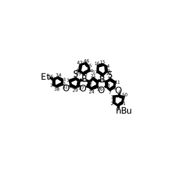 CCCCc1ccc(Oc2cc3c4c(c2)Sc2ccccc2B4c2cc4c(cc2O3)Oc2cc(Oc3ccc(CC)cc3)cc3c2B4c2ccccc2S3)cc1